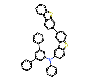 c1ccc(-c2cc(-c3ccccc3)cc(N(c3ccccc3)c3ccc4sc5ccc(-c6ccc7c(c6)sc6ccccc67)cc5c4c3)c2)cc1